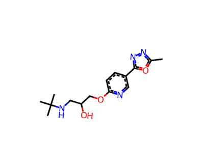 Cc1nnc(-c2ccc(OCC(O)CNC(C)(C)C)nc2)o1